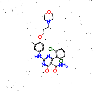 COc1nc(Nc2ccc(OCCCN3CCOCC3)c(C)c2)nc(-c2c(Cl)cccc2Cl)c1C(N)=O